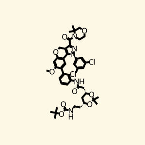 COc1cc2c(cc1-c1cccc(NC(=O)C[C@H]3C[C@@H](CCNC(=O)OC(C)(C)C)OC(C)(C)O3)c1)-c1c(c(C(=O)N3CCOCC3(C)C)nn1-c1cc(Cl)cc(Cl)c1)CO2